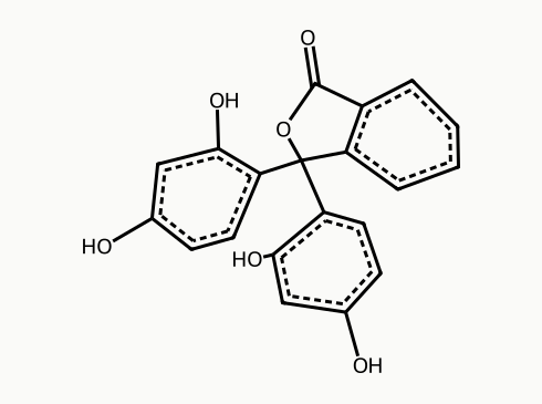 O=C1OC(c2ccc(O)cc2O)(c2ccc(O)cc2O)c2ccccc21